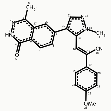 [CH2]c1n[nH]c(=O)c2ccc(-c3cnn(C)c3C=C(C#N)c3ccc(OC)cc3)cc12